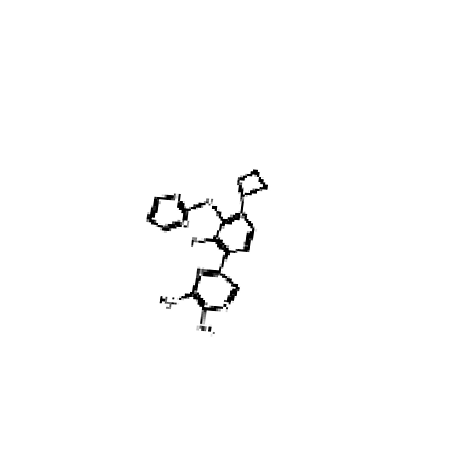 Cc1nc(-c2ccc(C3CCC3)c(Oc3ncccn3)c2F)cnc1N